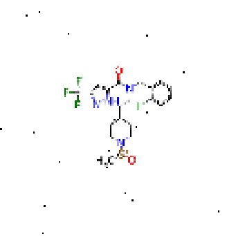 C[S+]([O-])N1CCC(CCN(Cc2ccccc2F)C(=O)c2cc(C(F)(F)F)n[nH]2)CC1